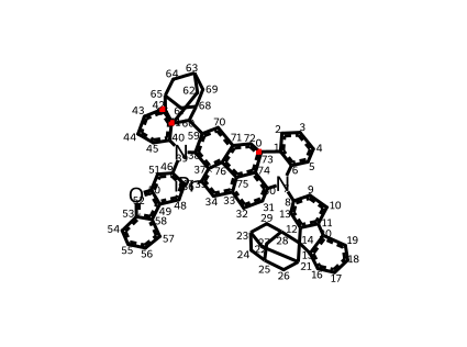 Cc1ccccc1N(c1ccc2c(c1)C1(c3ccccc3-2)C2CC3CC(C2)CC1C3)c1ccc2cc(C(C)C)c3c(N(c4ccccc4)c4ccc5c(c4)oc4ccccc45)c(C4C5CC6CC(C5)CC4C6)cc4ccc1c2c43